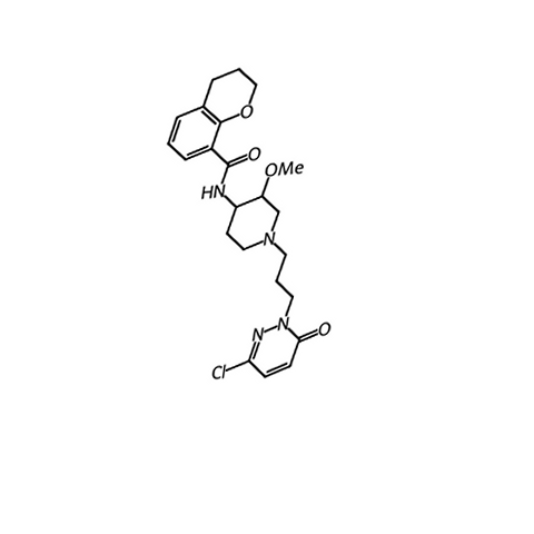 COC1CN(CCCn2nc(Cl)ccc2=O)CCC1NC(=O)c1cccc2c1OCCC2